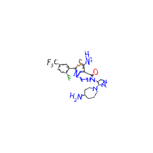 Cn1ncc(NC(=O)c2nc(-c3cc(C(F)(F)F)ccc3F)sc2N)c1N1CCC[C@@H](N)CC1